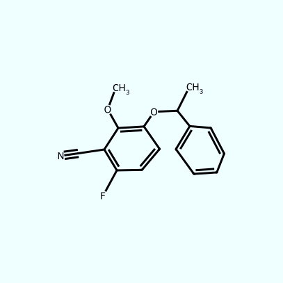 COc1c(OC(C)c2ccccc2)ccc(F)c1C#N